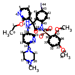 CCOc1ncccc1C1(Nc2ccc(N3CCN(C)CC3)nc2)C(=O)N(S(=O)(=O)c2ccc(OC)cc2OC)c2ccc(I)cc21